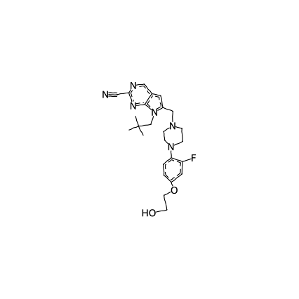 CC(C)(C)Cn1c(CN2CCN(c3ccc(OCCO)cc3F)CC2)cc2cnc(C#N)nc21